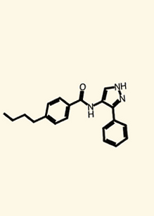 CCCCc1ccc(C(=O)Nc2c[nH]nc2-c2ccccc2)cc1